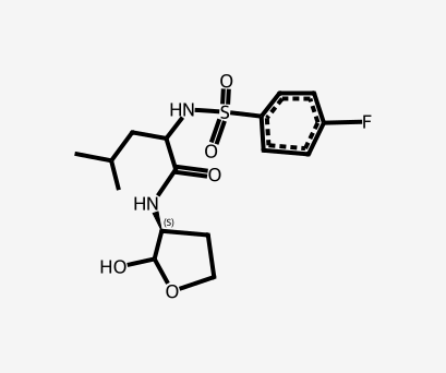 CC(C)CC(NS(=O)(=O)c1ccc(F)cc1)C(=O)N[C@H]1CCOC1O